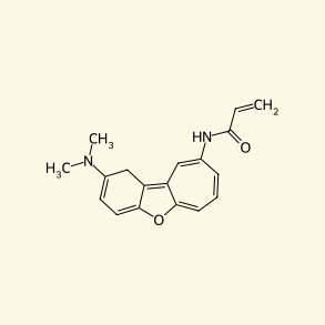 C=CC(=O)NC1=Cc2c3c(oc2=CC=C1)=CC=C(N(C)C)C3